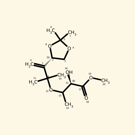 C=C([C@H]1COC(C)(C)O1)C(C)(C)OC(C)[C@@H](O)C(=O)OC